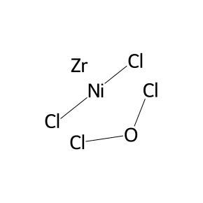 ClOCl.[Cl][Ni][Cl].[Zr]